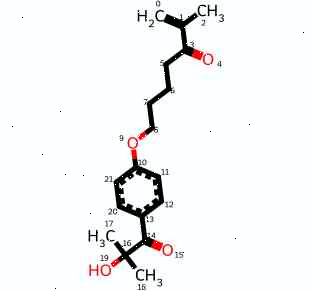 C=C(C)C(=O)CCCCOc1ccc(C(=O)C(C)(C)O)cc1